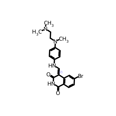 CN(C)CCN(C)c1ccc(N/C=C2\C(=O)NC(=O)c3ccc(Br)cc32)cc1